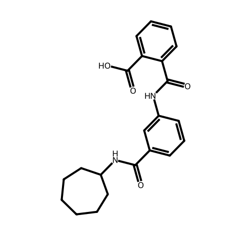 O=C(NC1CCCCCC1)c1cccc(NC(=O)c2ccccc2C(=O)O)c1